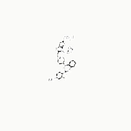 C[C@]1(c2ccc(C#N)cc2F)Oc2ccccc2C(C2CCN(Cc3nc4cc(C(=O)O)sc4n3C[C@@H]3CCO3)CC2)O1